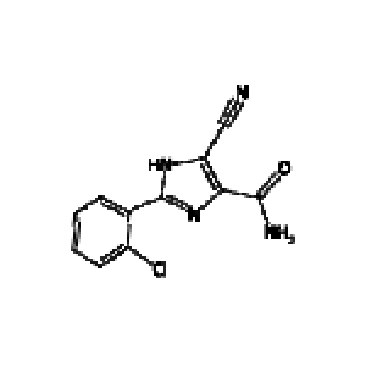 N#Cc1[nH]c(-c2ccccc2Cl)nc1C(N)=O